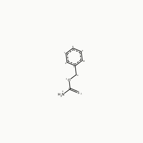 NC(=S)O[CH]c1ccccc1